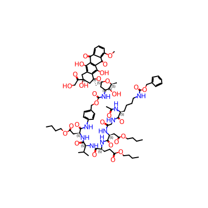 CCCCOC(=O)CC[C@H](NC(=O)[C@H](CC(=O)OCCCC)NC(=O)CNC(=O)[C@H](CCCCNC(=O)OCc1ccccc1)NC(C)=O)C(=O)N[C@H](C(=O)N[C@@H](CC(=O)OCCCC)C(=O)Nc1ccc(COC(=O)N[C@H]2C[C@H](O[C@@]3(C)C[C@](O)(C(=O)CO)Cc4c(O)c5c(c(O)c43)C(=O)c3c(OC)cccc3C5=O)O[C@@H](C)[C@H]2O)cc1)C(C)C